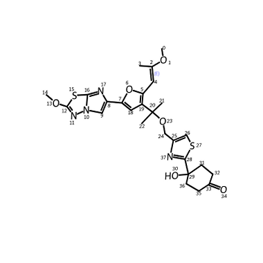 CO/C(C)=C/c1oc(-c2cn3nc(OC)sc3n2)cc1C(C)(C)OCc1csc(C2(O)CCC(=O)CC2)n1